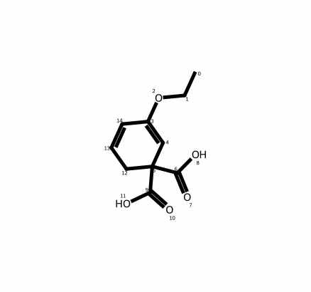 CCOC1=CC(C(=O)O)(C(=O)O)CC=C1